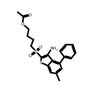 CC(=O)OCCCCS(=O)(=O)c1sc2cc(C)cc(-c3ccccc3)c2c1N